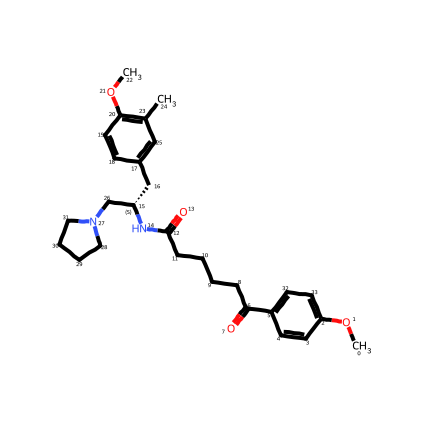 COc1ccc(C(=O)CCCCC(=O)N[C@@H](Cc2ccc(OC)c(C)c2)CN2CCCC2)cc1